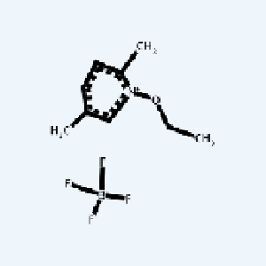 CCO[n+]1cc(C)ccc1C.F[B-](F)(F)F